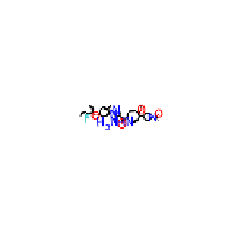 C=C/C(OC1=CC=C(N2N=CC(C(=O)c3cccc(OC)c(C4CCN(C(C)=O)CC4)cc[nH]3)C2N)C(C)=CC1)=C(F)\C=C/C